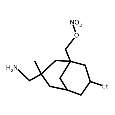 CCC1CC2CC(C)(CN)CC(CO[N+](=O)[O-])(C1)C2